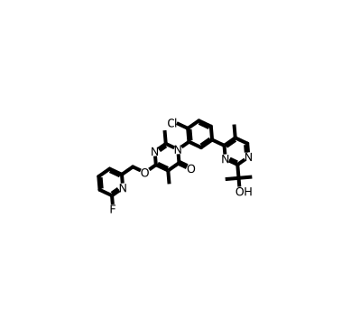 Cc1cnc(C(C)(C)O)nc1-c1ccc(Cl)c(-n2c(C)nc(OCc3cccc(F)n3)c(C)c2=O)c1